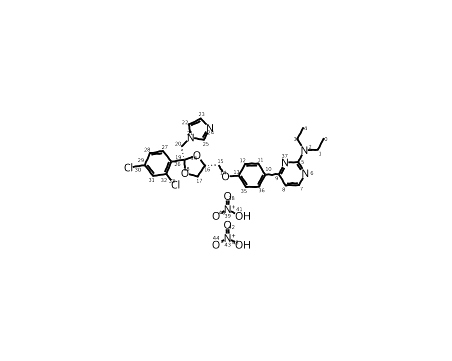 CCN(CC)c1nccc(-c2ccc(OC[C@@H]3CO[C@@](Cn4ccnc4)(c4ccc(Cl)cc4Cl)O3)cc2)n1.O=[N+]([O-])O.O=[N+]([O-])O